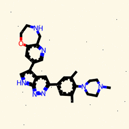 Cc1cc(-c2cc3c(-c4cnc5c(c4)OCCNC5)c[nH]c3nn2)cc(C)c1N1CCN(C)CC1